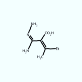 CC/C(C)=C(C(=O)O)/C(N)=N\N